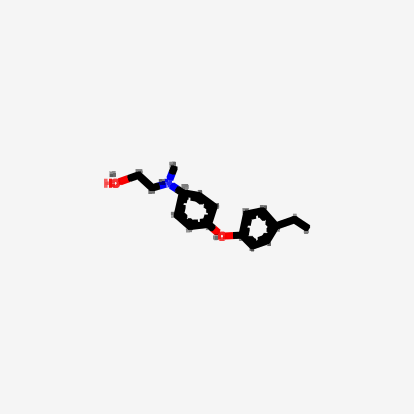 CCc1ccc(Oc2ccc(N(C)CCO)cc2)cc1